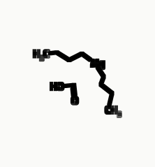 CCC[CH2][Mg][CH2]CCC.O=CO